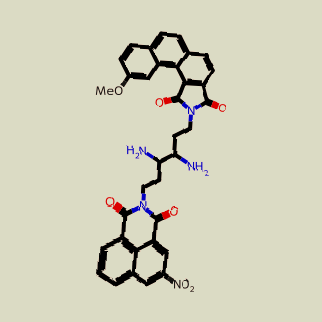 COc1ccc2ccc3ccc4c(c3c2c1)C(=O)N(CCC(N)C(N)CCN1C(=O)c2cccc3cc([N+](=O)[O-])cc(c23)C1=O)C4=O